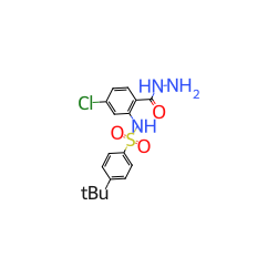 CC(C)(C)c1ccc(S(=O)(=O)Nc2cc(Cl)ccc2C(=O)NN)cc1